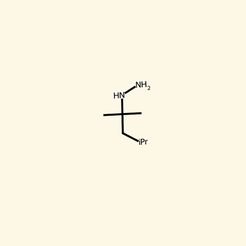 CC(C)CC(C)(C)NN